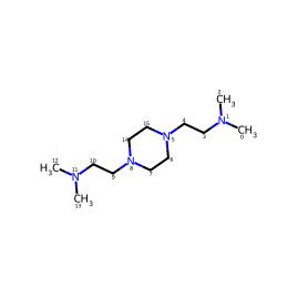 CN(C)CCN1CCN(CCN(C)C)CC1